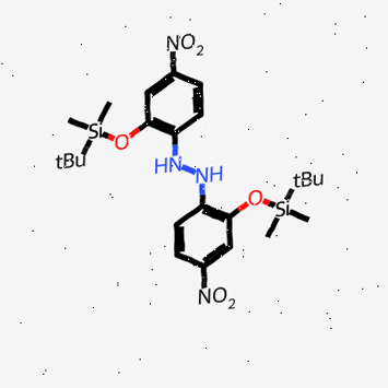 CC(C)(C)[Si](C)(C)Oc1cc([N+](=O)[O-])ccc1NNc1ccc([N+](=O)[O-])cc1O[Si](C)(C)C(C)(C)C